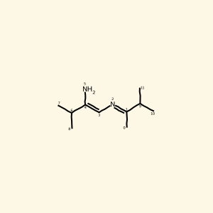 C/C(=N\C=C(/N)C(C)C)C(C)C